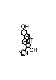 CC1C=C2CC(O)CC[C@]2(C)[C@@H]2CC[C@]3(C)C(c4cnccn4)=C(O)C[C@H]3[C@H]12